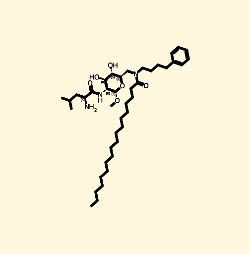 CCCCCCCCCCCCCCCCCC(=O)N(CCCCc1ccccc1)C[C@H]1O[C@H](OC)[C@H](NC(=O)[C@@H](N)CC(C)C)[C@@H](O)[C@@H]1O